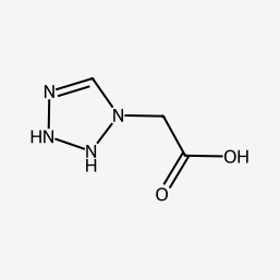 O=C(O)CN1C=NNN1